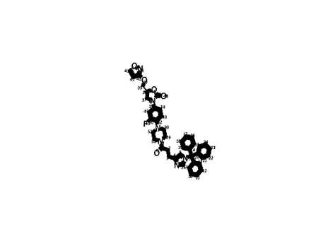 O=C(CCc1cn(C(c2ccccc2)(c2ccccc2)c2ccccc2)cn1)N1CCN(c2ccc(N3C[C@H](COc4ccon4)OC3=O)cc2F)CC1